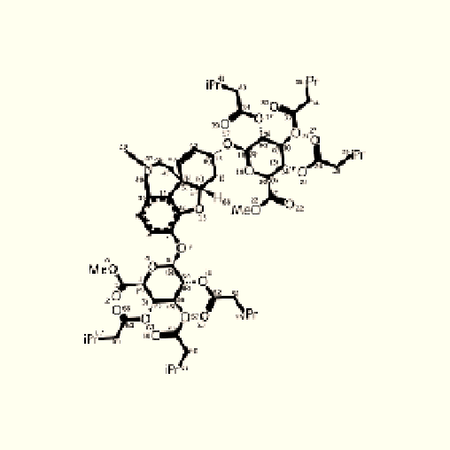 COC(=O)[C@H]1O[C@@H](Oc2ccc3c4c2O[C@H]2C[C@@H](O[C@@H]5O[C@H](C(=O)OC)[C@@H](OC(=O)CC(C)C)[C@H](OC(=O)CC(C)C)[C@H]5OC(=O)CC(C)C)C=C[C@@]42CCN(C)C3)[C@H](OC(=O)CC(C)C)[C@@H](OC(=O)CC(C)C)[C@@H]1OC(=O)CC(C)C